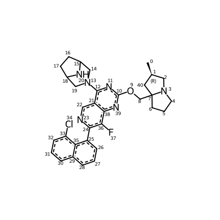 C[C@H]1CN2CCCC2(COc2nc(N3CC4CCC(C3)N4)c3cnc(-c4cccc5cccc(Cl)c45)c(F)c3n2)C1